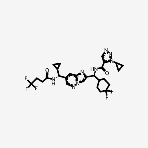 O=C(CCC(F)(F)F)N[C@@H](c1cnn2cc([C@@H](NC(=O)c3cnnn3C3CC3)C3CCC(F)(F)CC3)nc2c1)C1CC1